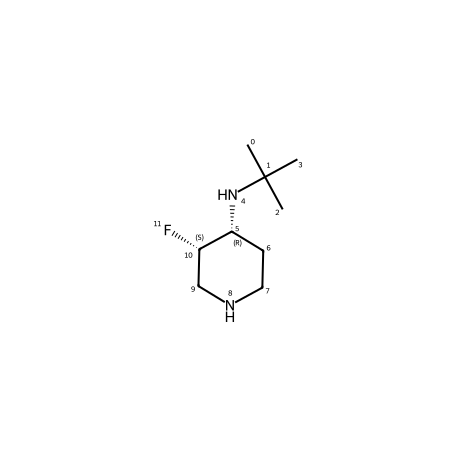 CC(C)(C)N[C@@H]1CCNC[C@@H]1F